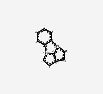 c1ccc2c(c1)n1ccc3ccn2c31